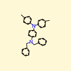 Cc1ccc(N(c2ccc(C)cc2)c2ccc(N(Cc3ccccc3)Cc3ccccc3)cc2)cc1